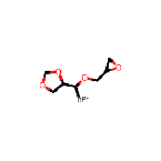 CCCC(OCC1CO1)C1COCO1